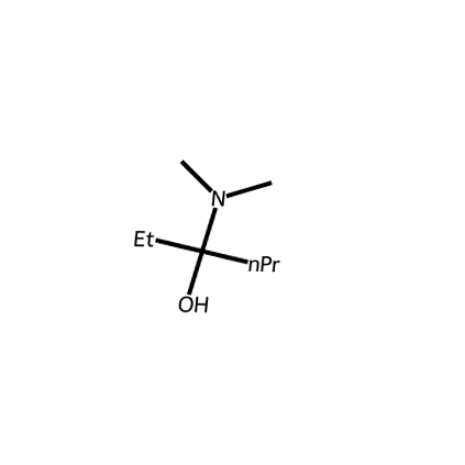 CCCC(O)(CC)N(C)C